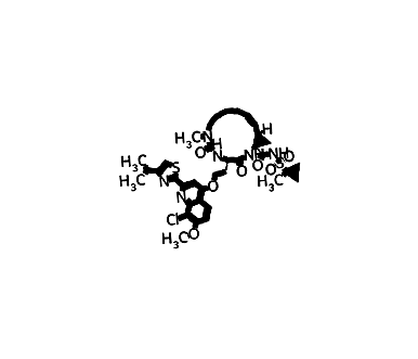 COc1ccc2c(OCC[C@@H]3NC(=O)N(C)CCCC/C=C\[C@@H]4C[C@@]4(C(=O)NS(=O)(=O)C4(C)CC4)NC3=O)cc(-c3nc(C(C)C)cs3)nc2c1Cl